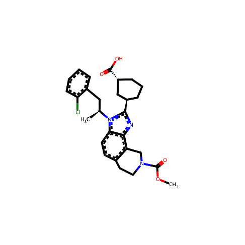 COC(=O)N1CCc2ccc3c(nc([C@@H]4CCC[C@@H](C(=O)O)C4)n3[C@@H](C)Cc3ccccc3Cl)c2C1